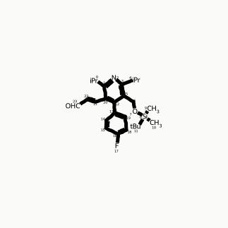 CC(C)c1nc(C(C)C)c(CO[Si](C)(C)C(C)(C)C)c(-c2ccc(F)cc2)c1C=CC=O